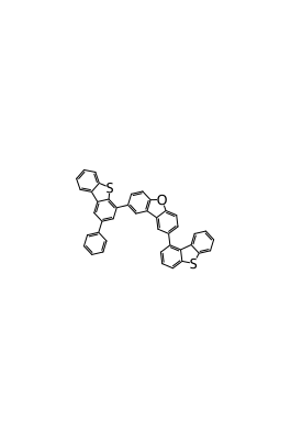 c1ccc(-c2cc(-c3ccc4oc5ccc(-c6cccc7sc8ccccc8c67)cc5c4c3)c3sc4ccccc4c3c2)cc1